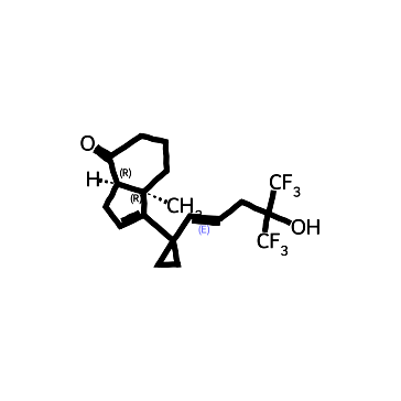 C[C@@]12CCCC(=O)[C@@H]1CC=C2C1(/C=C/CC(O)(C(F)(F)F)C(F)(F)F)CC1